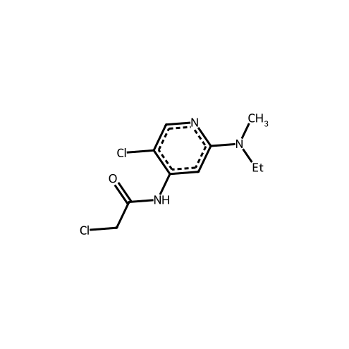 CCN(C)c1cc(NC(=O)CCl)c(Cl)cn1